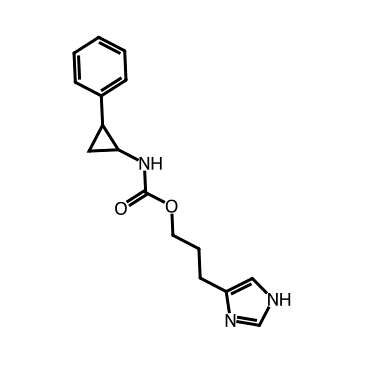 O=C(NC1CC1c1ccccc1)OCCCc1c[nH]cn1